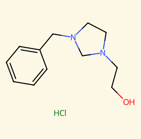 Cl.OCCN1CCN(Cc2ccccc2)C1